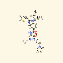 CCC[C@H](NC(=O)c1ccc2c(c1)nc(Cc1cccs1)n2C(CC)CC)C(=O)NCCCN1CCCC1